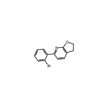 Brc1ccccc1-c1ccc2c(n1)OCC2